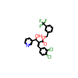 O=C(OCc1cccc(C(F)(F)F)c1)/C(=C\c1ccc(Cl)c(Cl)c1)C(O)c1cccnc1